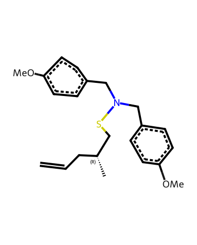 C=CC[C@@H](C)CSN(Cc1ccc(OC)cc1)Cc1ccc(OC)cc1